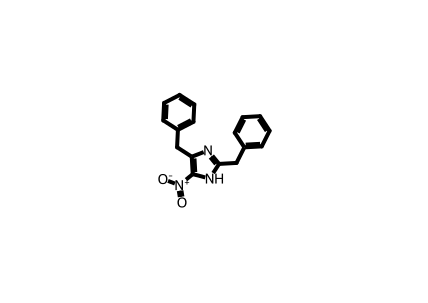 O=[N+]([O-])c1[nH]c(Cc2ccccc2)nc1Cc1ccccc1